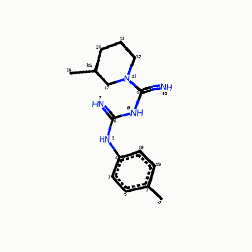 Cc1ccc(NC(=N)NC(=N)N2CCCC(C)C2)cc1